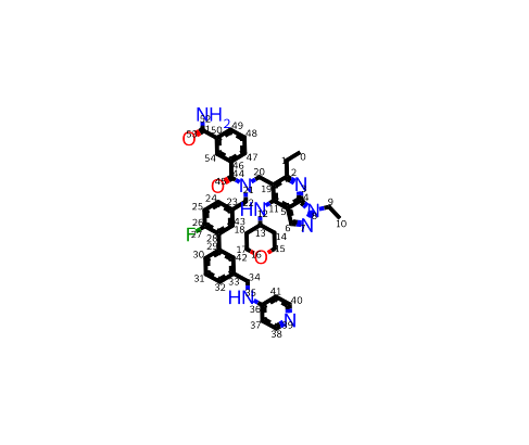 CCc1nc2c(cnn2CC)c(NC2CCOCC2)c1CN(Cc1ccc(F)c(-c2cccc(CNc3ccncc3)c2)c1)C(=O)c1cccc(C(N)=O)c1